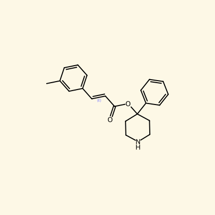 Cc1cccc(/C=C/C(=O)OC2(c3ccccc3)CCNCC2)c1